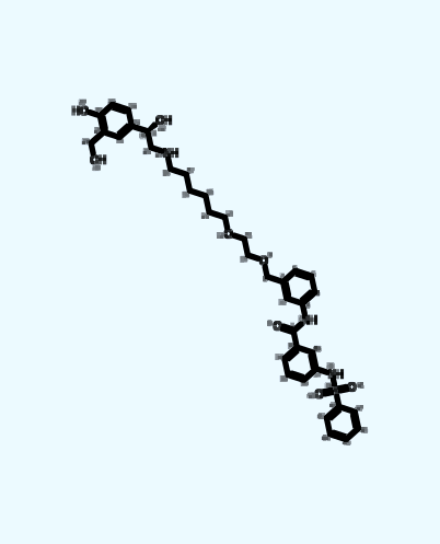 O=C(Nc1cccc(COCCOCCCCCCNC[C@H](O)c2ccc(O)c(CO)c2)c1)c1cccc(NS(=O)(=O)c2ccccc2)c1